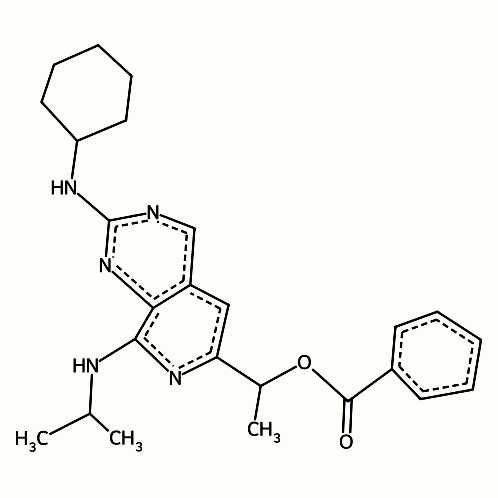 CC(C)Nc1nc(C(C)OC(=O)c2ccccc2)cc2cnc(NC3CCCCC3)nc12